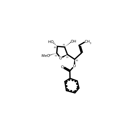 CC=C[C@@H](OC(=O)c1ccccc1)[C@H]1O[C@H](OC)[C@H](O)[C@@H]1O